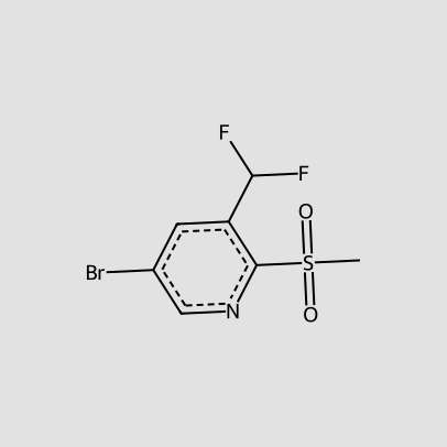 CS(=O)(=O)c1ncc(Br)cc1C(F)F